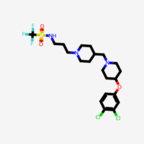 O=S(=O)(NCCCN1CCC(CN2CCC(Oc3ccc(Cl)c(Cl)c3)CC2)CC1)C(F)(F)F